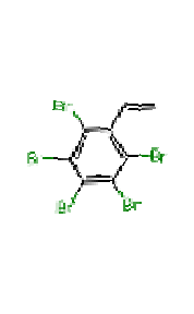 C=Cc1c(Br)c(Br)c(Br)c(Br)c1Br